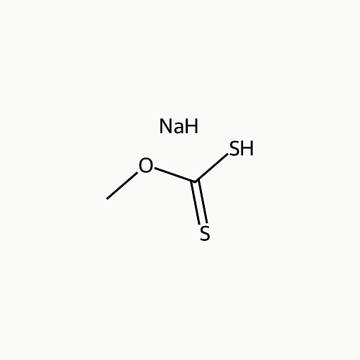 COC(=S)S.[NaH]